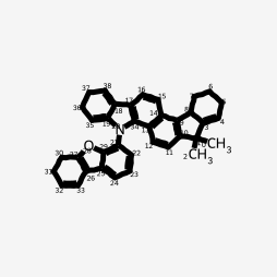 CC1(C)C2=CCCCC2c2c1ccc1c2ccc2c3c(n(-c4cccc5c6c(oc45)CCC=C6)c21)=CCCC=3